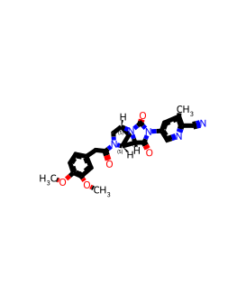 COc1ccc(CC(=O)N2C[C@@H]3C[C@H]2[C@H]2C(=O)N(c4cnc(C#N)c(C)c4)C(=O)N32)cc1OC